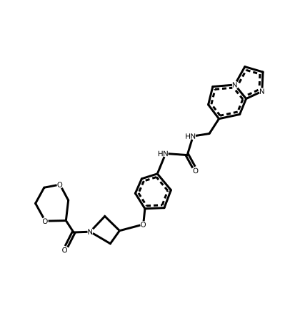 O=C(NCc1ccn2ccnc2c1)Nc1ccc(OC2CN(C(=O)C3COCCO3)C2)cc1